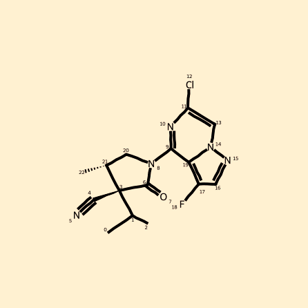 CC(C)[C@@]1(C#N)C(=O)N(c2nc(Cl)cn3ncc(F)c23)C[C@H]1C